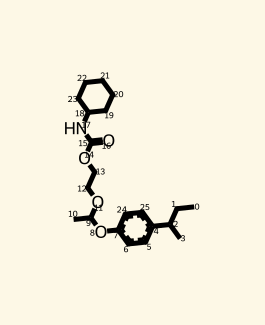 CCC(C)c1ccc(OC(C)OCCOC(=O)NC2CCCCC2)cc1